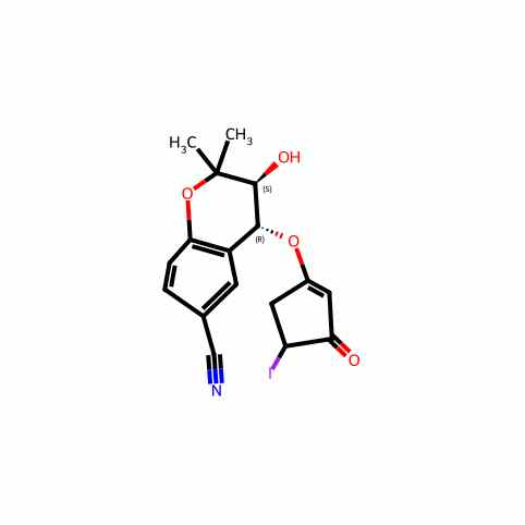 CC1(C)Oc2ccc(C#N)cc2[C@@H](OC2=CC(=O)C(I)C2)[C@@H]1O